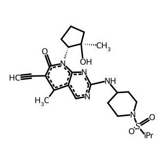 C#Cc1c(C)c2cnc(NC3CCN(S(=O)(=O)C(C)C)CC3)nc2n([C@@H]2CCC[C@@]2(C)O)c1=O